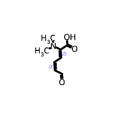 CN(C)/C(=C\C=C/C=O)C(=O)O